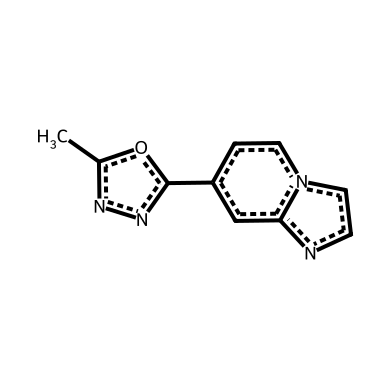 Cc1nnc(-c2ccn3ccnc3c2)o1